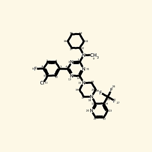 CN(c1nc(-c2ccc(F)c(Cl)c2)nc(N2CCN(c3ncccc3C(F)(F)F)CC2)n1)C1CCCCC1